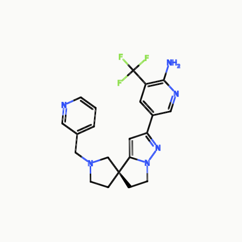 Nc1ncc(-c2cc3n(n2)CC[C@]32CCN(Cc3cccnc3)C2)cc1C(F)(F)F